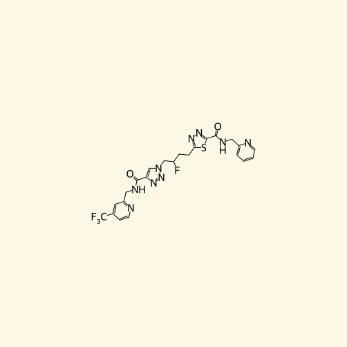 O=C(NCc1cc(C(F)(F)F)ccn1)c1cn(CC(F)CCc2nnc(C(=O)NCc3ccccn3)s2)nn1